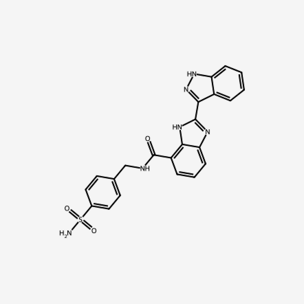 NS(=O)(=O)c1ccc(CNC(=O)c2cccc3nc(-c4n[nH]c5ccccc45)[nH]c23)cc1